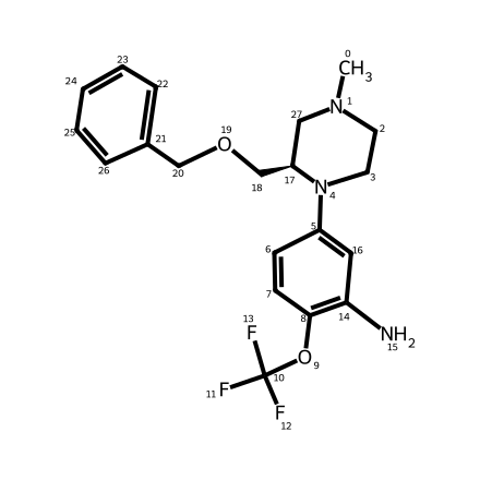 CN1CCN(c2ccc(OC(F)(F)F)c(N)c2)[C@@H](COCc2ccccc2)C1